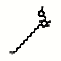 CCCCCCCCCCCCCCCC(=O)N[C@@H](Cc1cccc(F)c1)C(=O)O